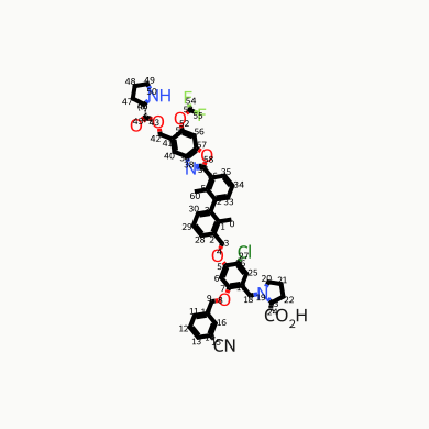 Cc1c(COc2cc(OCc3cccc(C#N)c3)c(CN3CCCC3C(=O)O)cc2Cl)cccc1-c1cccc(-c2nc3cc(COC(=O)[C@@H]4CCCN4)c(OC(F)F)cc3o2)c1C